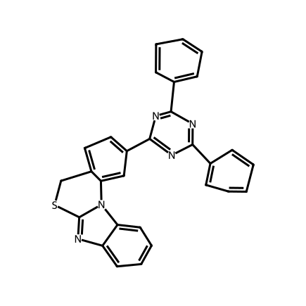 c1ccc(-c2nc(-c3ccccc3)nc(-c3ccc4c(c3)-n3c(nc5ccccc53)SC4)n2)cc1